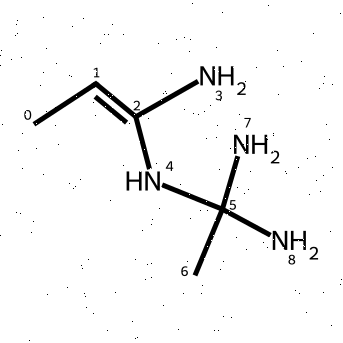 CC=C(N)NC(C)(N)N